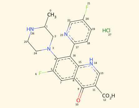 CC1CN(c2c(F)cc3c(=O)c(C(=O)O)c[nH]c3c2-c2ccc(F)cn2)CCN1.Cl